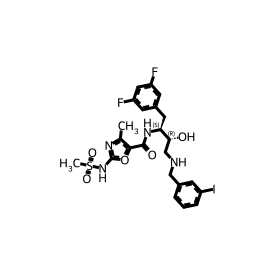 Cc1nc(NS(C)(=O)=O)oc1C(=O)N[C@@H](Cc1cc(F)cc(F)c1)[C@H](O)CNCc1cccc(I)c1